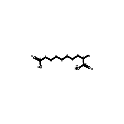 CC(CCCCCCCC(=O)Cl)C(=O)O